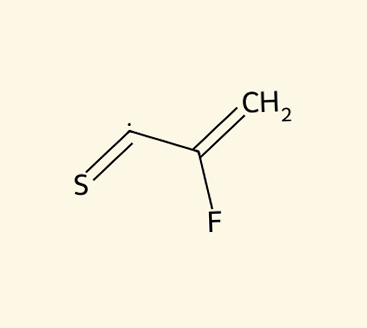 C=C(F)[C]=S